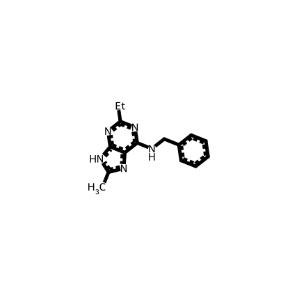 CCc1nc(NCc2ccccc2)c2nc(C)[nH]c2n1